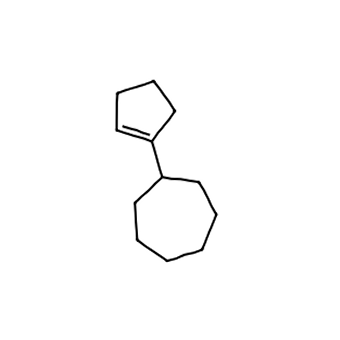 C1=C(C2CCCCCC2)CCC1